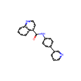 O=C(Nc1ccc(-c2cccnc2)cc1)c1ccnc2ccccc12